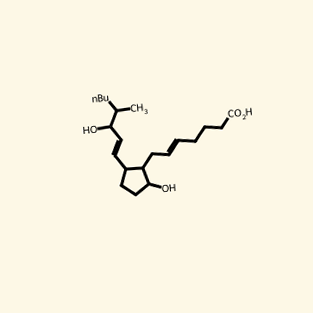 CCCCC(C)C(O)C=CC1CCC(O)C1CC=CCCCC(=O)O